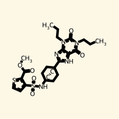 CCCn1c(=O)c2[nH]c(C34CCC(NS(=O)(=O)c5ccsc5C(=O)OC)(CC3)CC4)nc2n(CCC)c1=O